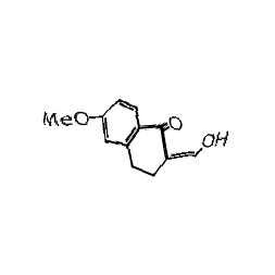 COc1ccc2c(c1)CC/C(=C/O)C2=O